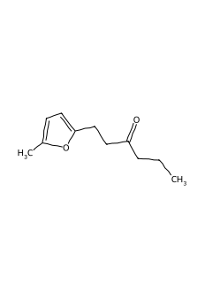 CCCC(=O)CCc1ccc(C)o1